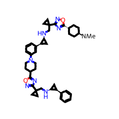 CN[C@H]1CC[C@H](c2nc(C3(CN[C@@H]4C[C@H]4c4cccc(N5CCC(c6nc(C7(CN[C@@H]8C[C@H]8c8ccccc8)CC7)no6)CC5)c4)CC3)no2)CC1